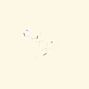 C=C[C@]1(C)CC[C@@H](C(=C)Cn2cccn2)C[C@H]1C(=C)CC